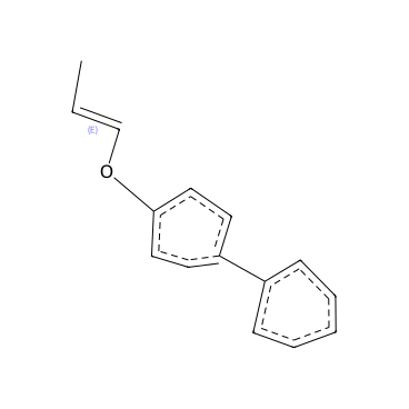 C/C=C/Oc1ccc(-c2ccccc2)cc1